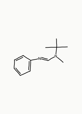 CN(C=Nc1ccccc1)C(C)(C)C